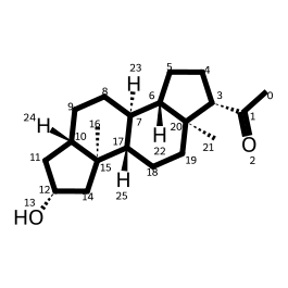 CC(=O)[C@H]1CC[C@H]2[C@@H]3CC[C@H]4C[C@@H](O)C[C@]4(C)[C@H]3CC[C@]12C